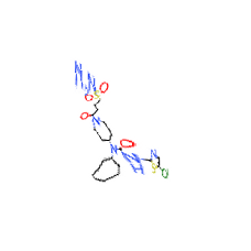 NS(=O)(=O)CCCC(=O)N1CCC(N(C(=O)Nc2ncc(Cl)s2)C2CCCCC2)CC1